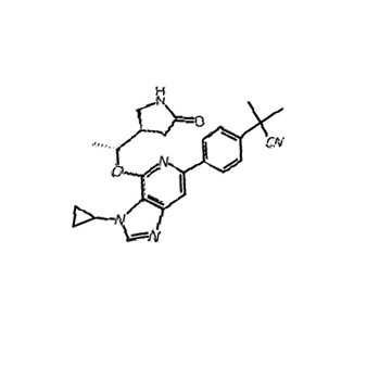 C[C@@H](Oc1nc(-c2ccc(C(C)(C)C#N)cc2)cc2ncn(C3CC3)c12)[C@H]1CNC(=O)C1